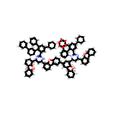 c1ccc(-c2cccc(-c3c(-c4ccccc4)cc(-c4ccccc4)cc3-c3nc(-c4cccc5c4oc4ccccc45)cc(-c4cccc5c4oc4ccc(-c6cc(-c7cc(-c8cccc9c8oc8ccccc89)nc(-c8cc(-c9ccccc9)cc(-c9ccccc9)c8-c8ccccc8-c8ccccc8)n7)c7oc8ccccc8c7c6)cc45)n3)c2)cc1